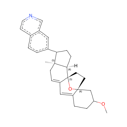 COC1CCC2=CC3=CC[C@@]4(C)C(c5ccc6ccncc6c5)CC[C@H]4[C@@]34CC[C@]2(C1)O4